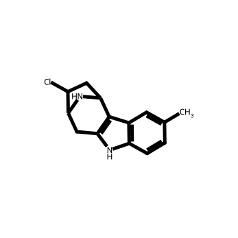 Cc1ccc2[nH]c3c(c2c1)C1CC(Cl)C(C3)N1